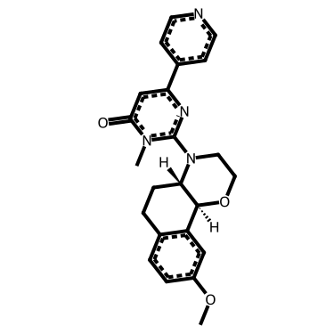 COc1ccc2c(c1)[C@@H]1OCCN(c3nc(-c4ccncc4)cc(=O)n3C)[C@H]1CC2